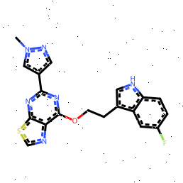 Cn1cc(-c2nc(OCCc3c[nH]c4ccc(F)cc34)c3ncsc3n2)cn1